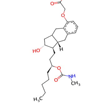 CCCCC[C@@H](CC[C@H]1[C@H](O)CC2Cc3c(cccc3OCC(=O)O)C[C@@H]21)OC(=O)NC